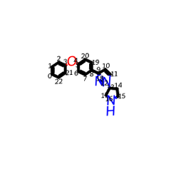 c1ccc(Oc2ccc(-c3ccn(C4CCNC4)n3)cc2)cc1